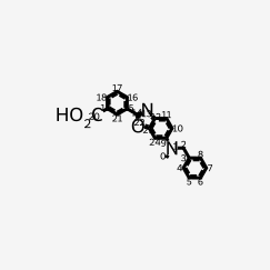 CN(Cc1ccccc1)c1ccc2nc(-c3cccc(C(=O)O)c3)oc2c1